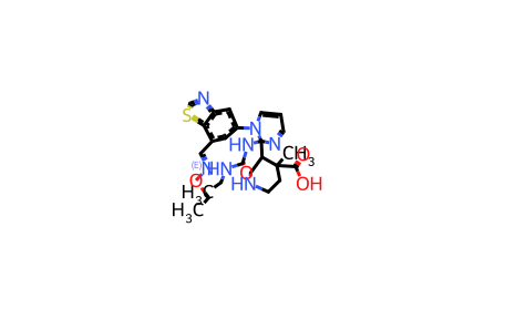 CCNC(=O)NC1(C2CNCCC2(C)C(=O)O)N=CC=CN1c1cc(/C=N/OCC)c2scnc2c1